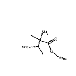 CCCCCCOC(=O)C(C)([SiH3])C(C)CCCCCC